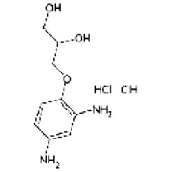 Cl.Cl.Nc1ccc(OCC(O)CO)c(N)c1